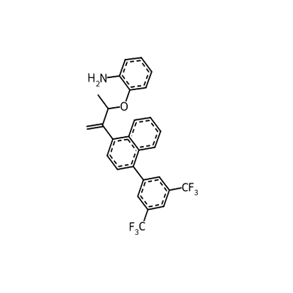 C=C(c1ccc(-c2cc(C(F)(F)F)cc(C(F)(F)F)c2)c2ccccc12)C(C)Oc1ccccc1N